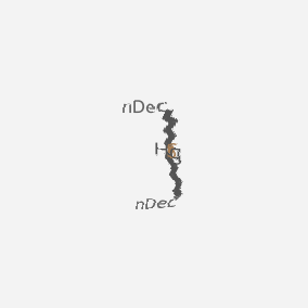 CCCCCCCCCCCCCCCCSCCCCCCCCCCCCCCCC.[Hg]